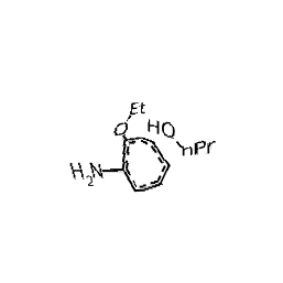 CCCO.CCOc1ccccc1N